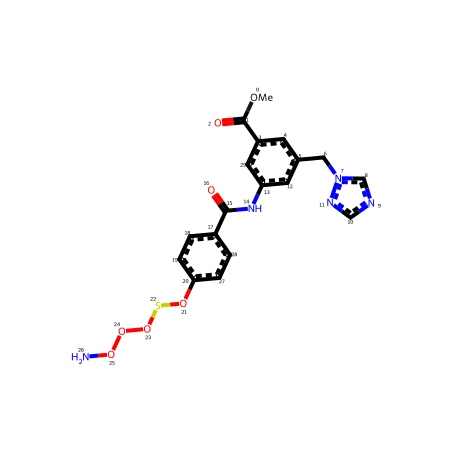 COC(=O)c1cc(Cn2cncn2)cc(NC(=O)c2ccc(OSOOON)cc2)c1